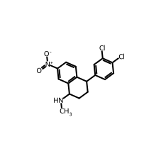 CNC1CCC(c2ccc(Cl)c(Cl)c2)c2ccc([N+](=O)[O-])cc21